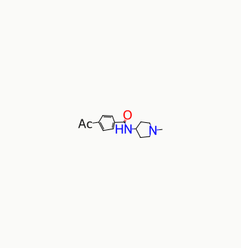 CC(=O)c1ccc(C(=O)NC2CCN(C)CC2)cc1